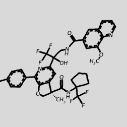 COc1cc(C(=O)NCC(O)(c2cc3c(c(-c4ccc(F)cc4)n2)OC[C@]3(C)C(=O)NC2(C(F)(F)F)CCCC2)C(F)(F)F)cc2cccnc12